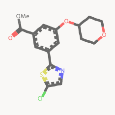 COC(=O)c1cc(OC2CCOCC2)cc(-c2ncc(Cl)s2)c1